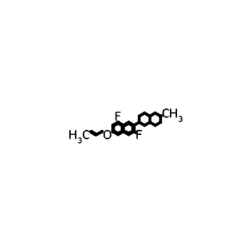 CC=CCOc1cc(F)c2cc(C3CCC4CC(C)CCC4C3)c(F)cc2c1